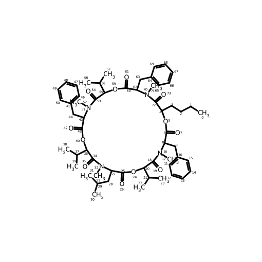 CCCCC1OC(=O)C(Cc2ccccc2)N(C)C(=O)C(C(C)C)OC(=O)C(CC(C)C)N(C)C(=O)C(C(C)C)OC(=O)C(Cc2ccccc2)N(C)C(=O)C(C(C)C)OC(=O)C(Cc2ccccc2)N(C)C1=O